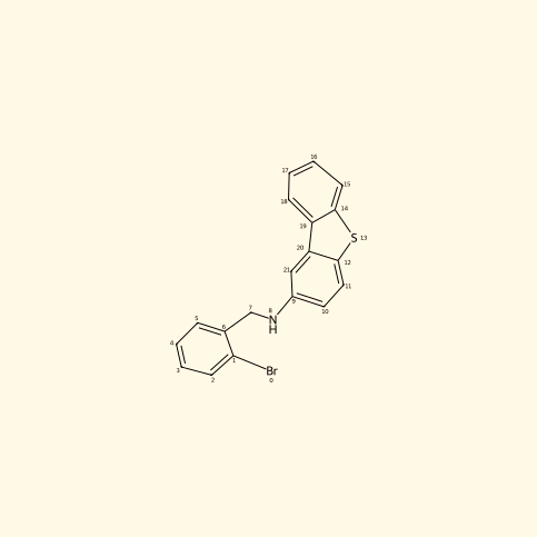 Brc1ccccc1CNc1ccc2sc3ccccc3c2c1